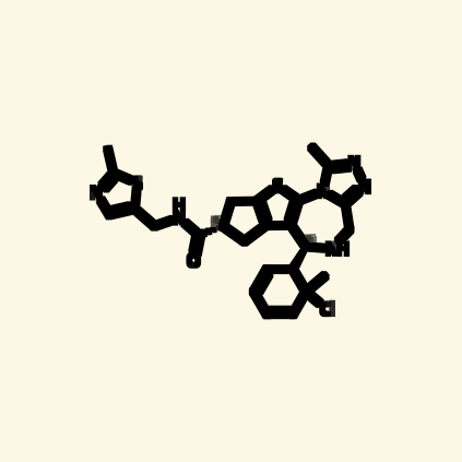 Cc1ncc(CNC(=O)[C@@H]2Cc3sc4c(c3C2)[C@H](C2C=CC=CC2(C)Cl)NCc2nnc(C)n2-4)s1